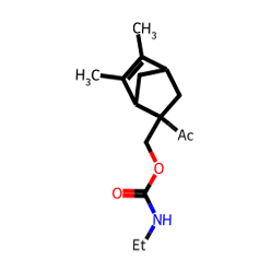 CCNC(=O)OCC1(C(C)=O)CC2CC1C(C)=C2C